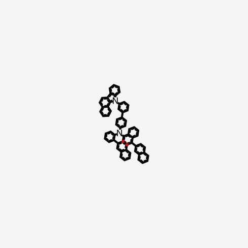 c1cc(-c2ccc(N(c3ccccc3-c3ccc4ccccc4c3)c3ccc(-c4ccc5ccccc5c4)c4ccccc34)cc2)cc(-n2c3ccccc3c3ccc4ccccc4c32)c1